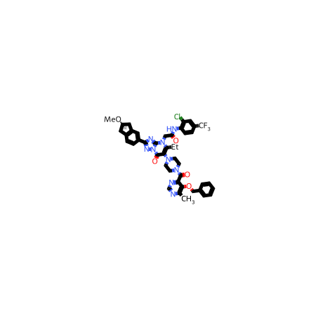 CCc1c(N2CCN(C(=O)c3ncnc(C)c3OCc3ccccc3)CC2)c(=O)n2nc(-c3ccc4c(c3)C[C@@H](OC)C4)nc2n1CC(=O)Nc1ccc(C(F)(F)F)cc1Cl